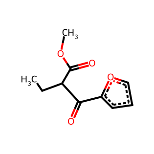 CCC(C(=O)OC)C(=O)c1ccco1